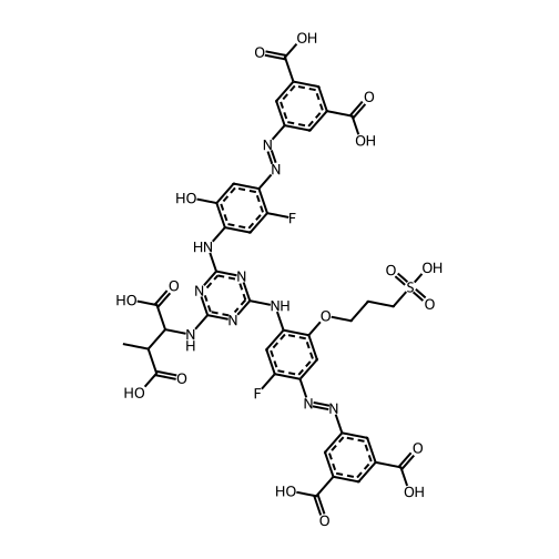 CC(C(=O)O)C(Nc1nc(Nc2cc(F)c(N=Nc3cc(C(=O)O)cc(C(=O)O)c3)cc2O)nc(Nc2cc(F)c(N=Nc3cc(C(=O)O)cc(C(=O)O)c3)cc2OCCCS(=O)(=O)O)n1)C(=O)O